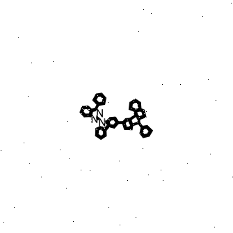 c1ccc(-c2nc(-n3c4ccccc4c4cc(-c5ccc6c(c5)-c5c(ccc7ccccc57)C6c5ccccc5)ccc43)nc3ccccc23)cc1